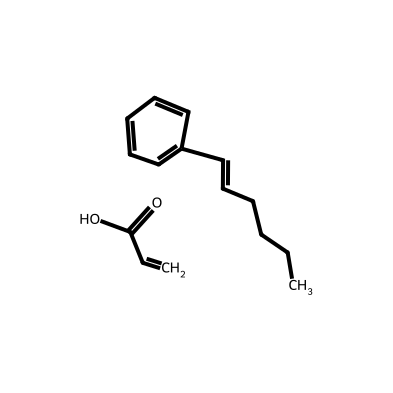 C=CC(=O)O.CCCCC=Cc1ccccc1